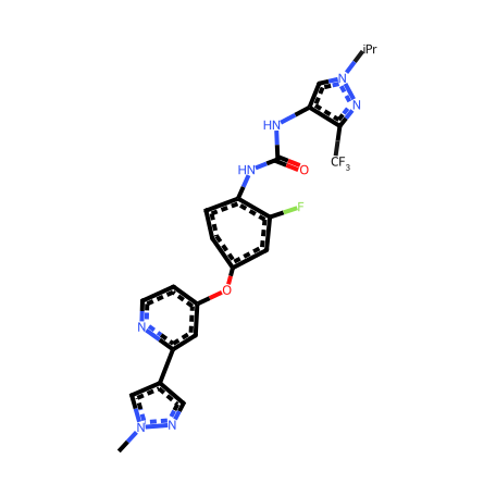 CC(C)n1cc(NC(=O)Nc2ccc(Oc3ccnc(-c4cnn(C)c4)c3)cc2F)c(C(F)(F)F)n1